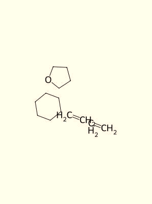 C1CCCCC1.C1CCOC1.C=C.C=C